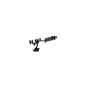 N#C[SiH2]Br